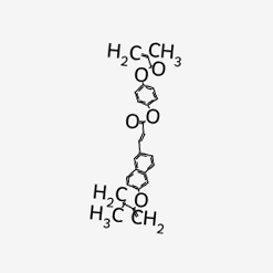 C=C(C)C(=C)Oc1ccc2cc(/C=C/C(=O)Oc3ccc(OC(=O)C(=C)C)cc3)ccc2c1